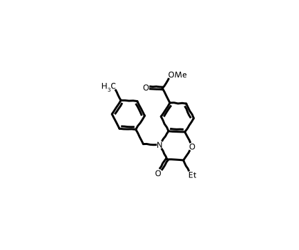 CCC1Oc2ccc(C(=O)OC)cc2N(Cc2ccc(C)cc2)C1=O